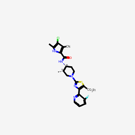 CCOC(=O)c1sc(N2CC[C@@H](NC(=O)c3[nH]c(C)c(Cl)c3C#N)[C@@H](C)C2)nc1-c1ncccc1F